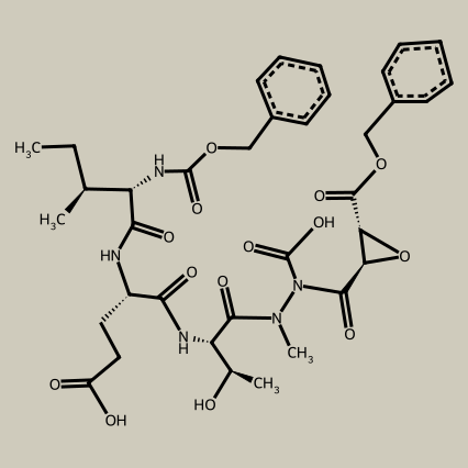 CC[C@H](C)[C@H](NC(=O)OCc1ccccc1)C(=O)N[C@@H](CCC(=O)O)C(=O)N[C@H](C(=O)N(C)N(C(=O)O)C(=O)[C@@H]1O[C@H]1C(=O)OCc1ccccc1)[C@@H](C)O